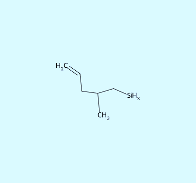 C=CCC(C)C[SiH3]